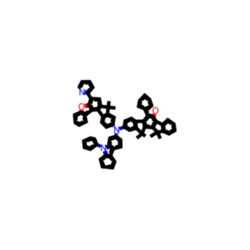 CC1(C)c2cc(N(c3ccc4c(c3)C(C)(C)c3c5c(c6oc7ccccc7c6c3-4)-c3ccccc3C5(C)C)c3ccc4c5ccccc5n(-c5ccccc5)c4c3)ccc2-c2c1cc(-c1ccccn1)c1oc3ccccc3c21